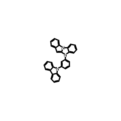 c1cc(-n2c3ccccc3c3ccccc32)cc(-n2c3ccccc3n3c4ccccc4cc23)c1